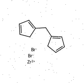 C1=CCC(CC2=CC=CC2)=C1.[Br-].[Br-].[Zr+2]